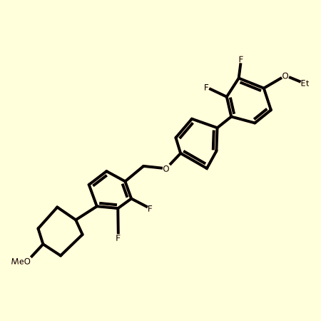 CCOc1ccc(-c2ccc(OCc3ccc(C4CCC(OC)CC4)c(F)c3F)cc2)c(F)c1F